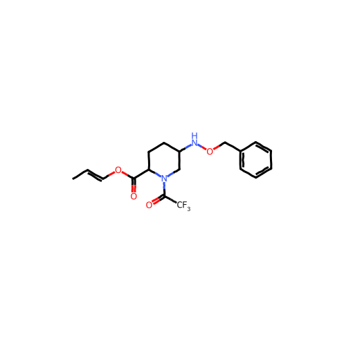 C/C=C/OC(=O)C1CCC(NOCc2ccccc2)CN1C(=O)C(F)(F)F